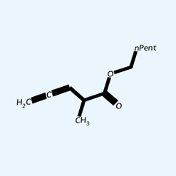 C=C=CC(C)C(=O)OCCCCCC